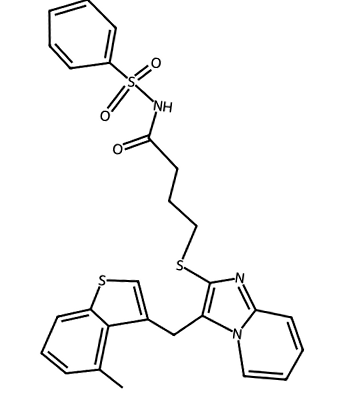 Cc1cccc2scc(Cc3c(SCCCC(=O)NS(=O)(=O)c4ccccc4)nc4ccccn34)c12